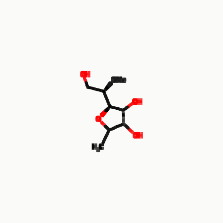 CO[C@H](CO)[C@@H]1OC(C)C(O)C1O